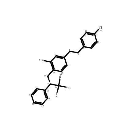 Fc1cc(CCc2ccc(Cl)cc2)ccc1C[C@H](c1ccccc1)C(F)(F)F